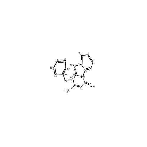 Cc1cc(=O)n2c3ccccc3nc2n1Cc1ccccc1